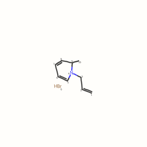 Br.C=CCN1C=CC=CC1C